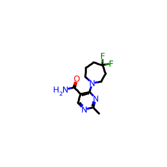 Cc1ncc(C(N)=O)c(N2CCCC(F)(F)CC2)n1